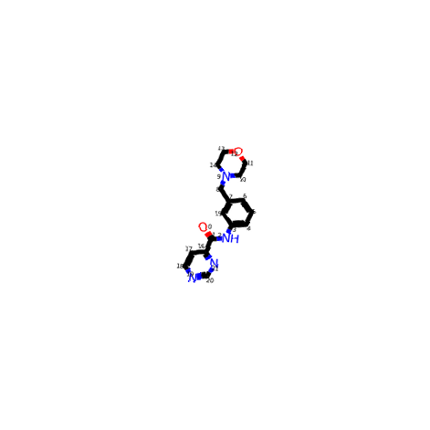 O=C(Nc1cccc(CN2CCOCC2)c1)c1ccncn1